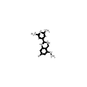 COc1cc(F)cc2c1CNC(c1cc(C)nc(C)c1)=N2